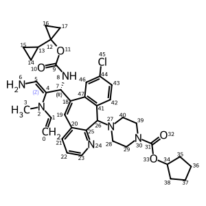 C=CN(C)/C(=C\N)[C@H](NC(=O)OC1(C2CC2)CC1)C1=Cc2cccnc2C(N2CCN(C(=O)OC3CCCC3)CC2)c2ccc(Cl)cc21